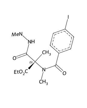 CCOC(=O)[C@](C)(C(=O)NNC)N(C)C(=O)c1ccc(I)cc1